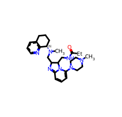 CCC(=O)NCC1C(CN(C)[C@H]2CCCc3cccnc32)N=C2C=CC=C(N3CCN(C)CC3)N21